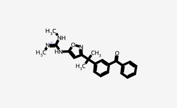 C/N=C(/NC)Nc1cc(C(C)(C)c2cccc(C(=O)c3ccccc3)c2)no1